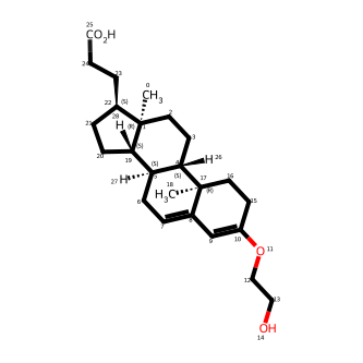 C[C@]12CC[C@H]3[C@@H](CC=C4C=C(OCCO)CC[C@@]43C)[C@@H]1CC[C@H]2CCC(=O)O